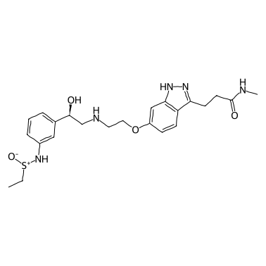 CC[S+]([O-])Nc1cccc([C@@H](O)CNCCOc2ccc3c(CCC(=O)NC)n[nH]c3c2)c1